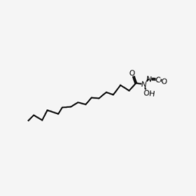 CCCCCCCCCCCCCCCC(=O)N(O)N=C=O